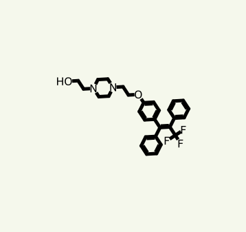 OCCN1CCN(CCOc2ccc(/C(=C(\c3ccccc3)C(F)(F)F)c3ccccc3)cc2)CC1